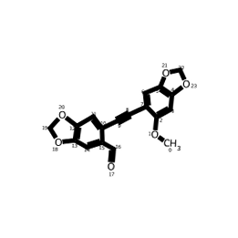 COc1cc2c(cc1C#Cc1cc3c(cc1C=O)OCO3)OCO2